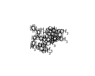 Cc1cc2c(cc1N1c3ccc(N(c4cccc(-c5ccccc5)c4)c4cccc(-c5ccccc5)c4)cc3Bc3c1cc1oc4ccccc4c1c3-c1ccc3c(c1Nc1ccc4c(c1)C(C)(C)CCC4(C)C)-c1ccccc1C3(C)C)C(C)(C)CCC2(C)C